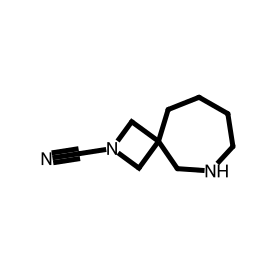 N#CN1CC2(CCCCNC2)C1